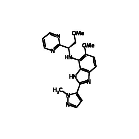 COC[C@@H](Nc1c(OC)ccc2nc(-c3ccnn3C)[nH]c12)c1ncccn1